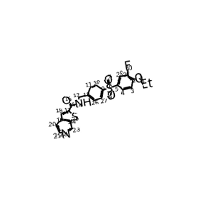 CCOc1ccc(S(=O)(=O)c2ccc(CNC(=O)c3cc4ccncc4s3)cc2)cc1F